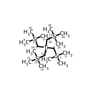 C[Si](C)(C)[CH2][Ti]([CH2][Si](C)(C)C)([CH2][Si](C)(C)C)[CH2][Si](C)(C)C